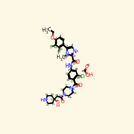 CCOc1ccc(-c2cnc(C(=O)Nc3ccc(C(=O)N4CCN(C(=O)CC5(O)CCNCC5)CC4)c(Cl)c3)n2C)c(F)c1F.O=CO